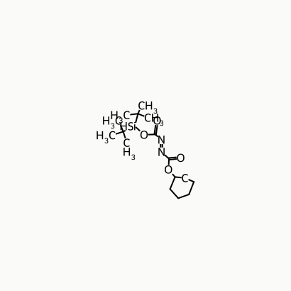 CC(C)(C)[SiH](OC(=O)N=NC(=O)OC1CCCCC1)C(C)(C)C